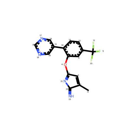 CC1=CC(Oc2cc(C(F)(F)F)ccc2-c2cncnc2)=NC1=N